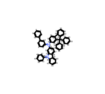 c1ccc(-c2cccc(N(c3ccc4c(c3)C(c3ccccc3)(c3ccccc3)c3ccccc3-4)c3ccc4c5ccccc5n(-c5ccccc5)c4c3)c2)cc1